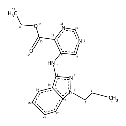 CCCn1nc(Nc2cncnc2C(=O)OCC)c2ccccc21